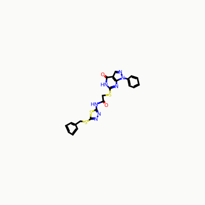 O=C(CSc1nc2c(cnn2-c2ccccc2)c(=O)[nH]1)Nc1nnc(SCc2ccccc2)s1